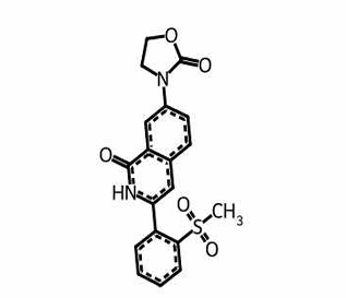 CS(=O)(=O)c1ccccc1-c1cc2ccc(N3CCOC3=O)cc2c(=O)[nH]1